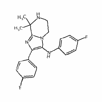 CC1(C)NCCn2c1nc(-c1ccc(F)cc1)c2Nc1ccc(F)cc1